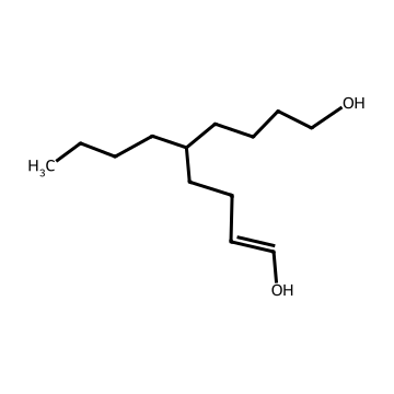 CCCCC(CCC=CO)CCCCO